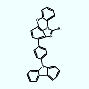 CCc1nc2c(-c3ccc(-n4c5ccccc5c5ccccc54)cc3)ccc3c2n1-c1ccccc1O3